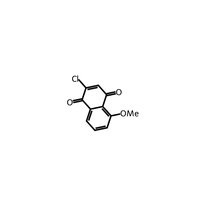 COc1cccc2c1C(=O)C=C(Cl)C2=O